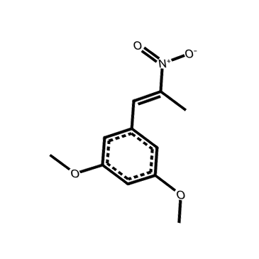 COc1cc(/C=C(\C)[N+](=O)[O-])cc(OC)c1